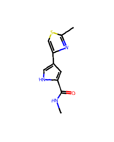 CNC(=O)c1cc(-c2csc(C)n2)c[nH]1